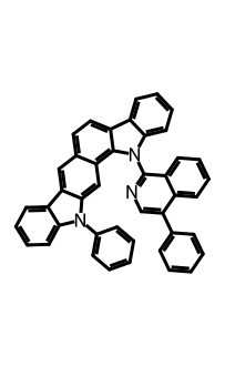 c1ccc(-c2cnc(-n3c4ccccc4c4ccc5cc6c7ccccc7n(-c7ccccc7)c6cc5c43)c3ccccc23)cc1